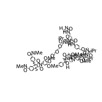 CCC(C)[C@@H]([C@@H](CC(=O)N1CCC[C@H]1[C@H](OC)[C@@H](C)C(=O)N[C@H](C)[C@@H](O)c1ccccc1)OC)N(C)C(=O)[C@@H](NC(=O)[C@H](C(C)C)N(C)C(=O)OCc1ccc(NC(=O)[C@H](CCCNC(N)=O)NC(=O)[C@@H](NC(=O)COCCOCCOCCOc2c(OC)cc(N3C(=O)C(Sc4ccc(C(=O)NC)cc4)=C(Sc4ccc(C(=O)NC)cc4)C3=O)cc2OC)C(C)C)cc1)C(C)C